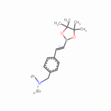 CC[C@@H](C)N(Cc1ccc(/C=C/B2OC(C)(C)C(C)(C)O2)cc1)C(C)C